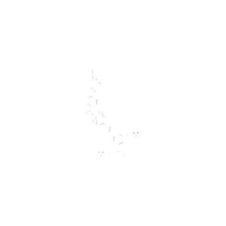 COC(=O)c1cc(C=Cc2cnc(Nc3ccc(N4C[C@@H](C)N[C@@H](C)C4)cc3)nc2)c(F)c(OC)c1